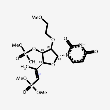 COCCO[C@@H]1[C@H](OP(C)(=O)OC)[C@@H](/C(C)=C/P(=O)(OC)OC)O[C@H]1n1ccc(=O)[nH]c1=O